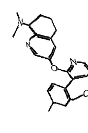 COC1=C(c2cccnc2Oc2cnc3c(c2)CCCC3N(C)C)C=CC(C)C1